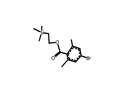 Cc1cc(Br)cc(C)c1C(=O)OCC[Si](C)(C)C